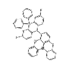 Fc1ccc2c(c1)[Si](c1ccccc1)(c1ccccc1)c1cc(F)ccc1C2c1ccc2c3c1Oc1ccccc1B3c1ccccc1S2